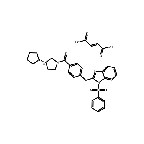 O=C(O)C=CC(=O)O.O=C(c1ccc(Cc2nc3ccccc3n2S(=O)(=O)c2ccccc2)cc1)N1CC[C@H](N2CCCC2)C1